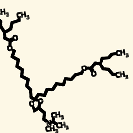 CCCCC(CCCC)CC(=O)OCCCCCCCCCCC1(CCCCCCCCCCOC(=O)CC(CCCC)CCCC)OCC(CCN(C)C(C)C)O1